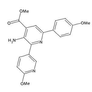 COC(=O)c1cc(-c2ccc(OC)cc2)nc(-c2ccc(OC)nc2)c1N